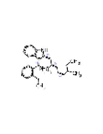 CCc1ccccc1/C(C)=c1/c(=C\C(C)=C\C=C/C(C)CC)[nH]c2ccccc12